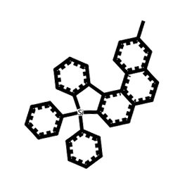 Cc1ccc2c(ccc3ccc4c(c32)-c2ccccc2[Si]4(c2ccccc2)c2ccccc2)c1